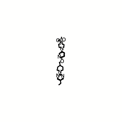 CCc1cnc(N2CCC(COc3ccc(N4CCN(S(C)(=O)=O)CC4)cn3)CC2)nc1